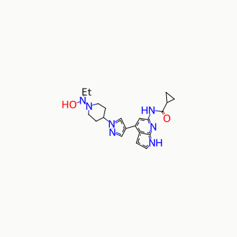 CCN(O)N1CCC(n2cc(-c3cc(NC(=O)C4CC4)nc4[nH]ccc34)cn2)CC1